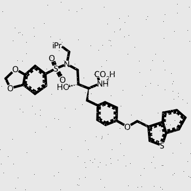 CC(C)CN(C[C@@H](O)[C@H](Cc1ccc(OCc2csc3ccccc23)cc1)NC(=O)O)S(=O)(=O)c1ccc2c(c1)OCO2